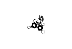 C[Si](Cn1cncn1)(c1ccc(Cl)cc1Cl)c1ccc(Cl)cc1Cl